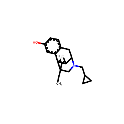 CC1CC23CCN(CC4CC4)C(Cc4ccc(O)cc42)C3(C)C1